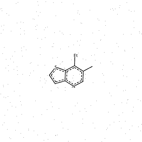 CCc1c(C)cnc2ccsc12